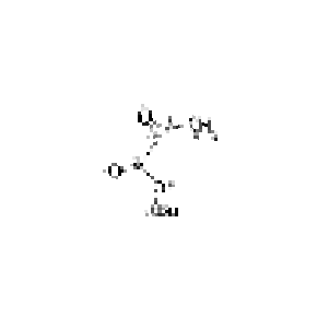 CC1OC1C(=O)OC(C)(C)C